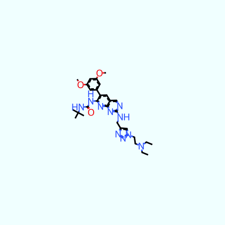 CCN(CC)CCn1cc(CNc2ncc3cc(-c4cc(OC)cc(OC)c4)c(NC(=O)NC(C)(C)C)nc3n2)nn1